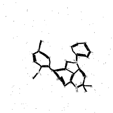 COc1ccc(C)cc1-c1ccc2c3c1CN(c1ccccc1)C3=CC(C)(C)N2